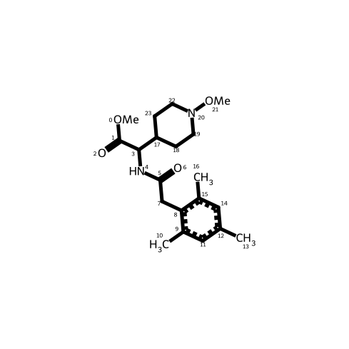 COC(=O)C(NC(=O)Cc1c(C)cc(C)cc1C)C1CCN(OC)CC1